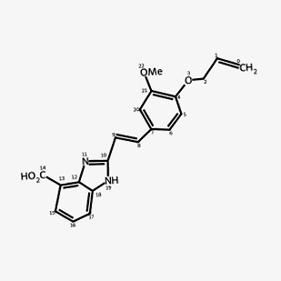 C=CCOc1ccc(/C=C/c2nc3c(C(=O)O)cccc3[nH]2)cc1OC